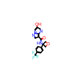 O=C(NC1(c2ccc(C(F)(F)F)cc2)COC1)c1cnn2cc(O)cnc12